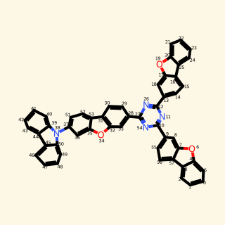 c1ccc2c(c1)oc1cc(-c3nc(-c4ccc5c(c4)oc4ccccc45)nc(-c4ccc5c(c4)oc4cc(-n6c7ccccc7c7ccccc76)ccc45)n3)ccc12